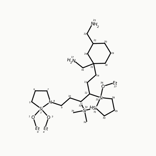 CCO[Si]1(OCC)CCCN1CCCC(CCC1(CN)CCCC(CN)C1)[Si]1(OCC)CCC[SiH]1[Si](C)(C)C